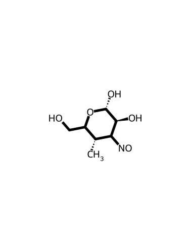 C[C@@H]1C(CO)O[C@H](O)[C@@H](O)C1N=O